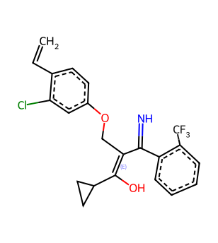 C=Cc1ccc(OC/C(C(=N)c2ccccc2C(F)(F)F)=C(/O)C2CC2)cc1Cl